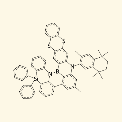 Cc1cc2c3c(c1)N(c1cc4c(cc1C)C(C)(C)CCC4(C)C)c1cc4c(cc1B3N1c3ccccc3[Si](c3ccccc3)(c3ccccc3)c3cccc-2c31)Sc1ccccc1S4